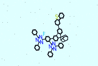 Fc1cc(-c2ccc3c(c2)-c2cc(-c4ccc5sc6ccccc6c5c4)ccc2C32C3CC4CC(C3)CC2C4)c(-c2nc(-c3ccccc3)nc(-c3ccccc3)n2)cc1-c1nc(-c2ccccc2)nc(-c2ccccc2)n1